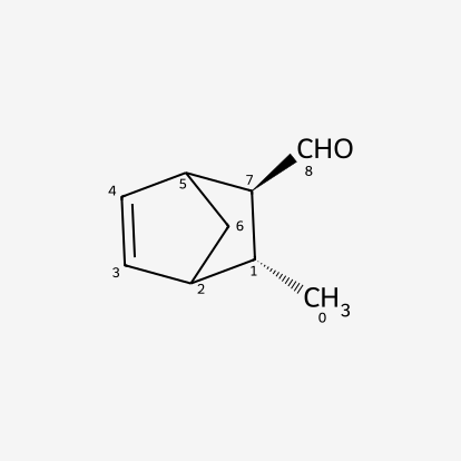 C[C@@H]1C2C=CC(C2)[C@H]1C=O